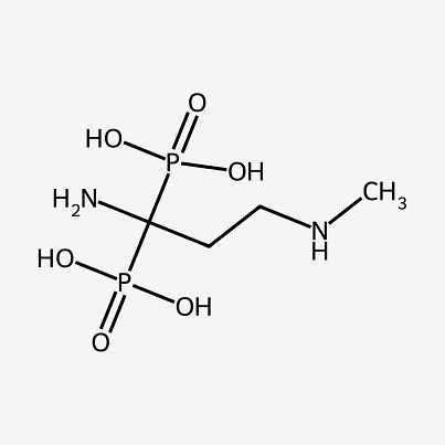 CNCCC(N)(P(=O)(O)O)P(=O)(O)O